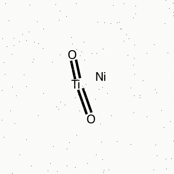 [Ni].[O]=[Ti]=[O]